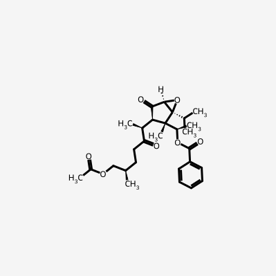 CC(=O)OC[C@H](C)CCC(=O)[C@@H](C)[C@H]1C(=O)[C@H]2O[C@@]2(C(C)C)[C@]1(C)[C@@H](C)OC(=O)c1ccccc1